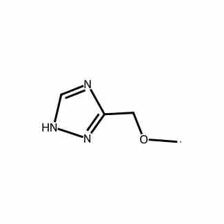 [CH2]OCc1nc[nH]n1